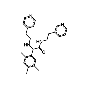 Cc1cc(C)c(C(NCCc2ccncc2)C(=O)NCCc2cccnc2)cc1C